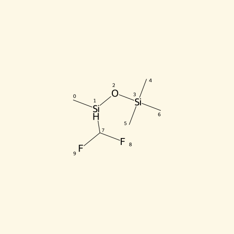 C[SiH](O[Si](C)(C)C)C(F)F